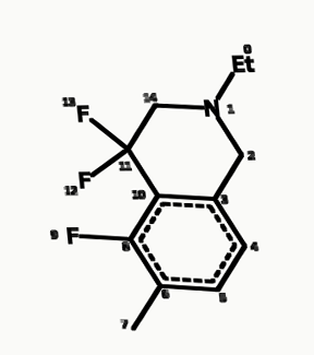 CCN1Cc2ccc(C)c(F)c2C(F)(F)C1